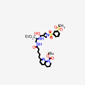 CCOC(=O)C(CNC(=O)CCCCc1ccc2c(n1)N(C(=O)OC(C)(C)C)CCC2)NC(O)C1CN(S(=O)(=O)c2cccc(S(C)(=O)=O)c2)C1